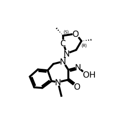 C[C@@H]1CN(N2Cc3ccccc3N(C)C(=O)C2=NO)C[C@H](C)O1